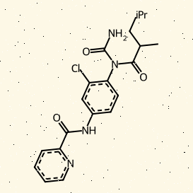 CC(C)CC(C)C(=O)N(C(N)=O)c1ccc(NC(=O)c2ccccn2)cc1Cl